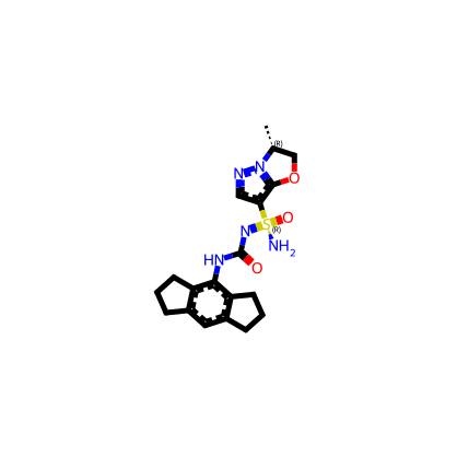 C[C@@H]1COc2c([S@](N)(=O)=NC(=O)Nc3c4c(cc5c3CCC5)CCC4)cnn21